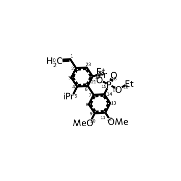 C=Cc1cc(C(C)C)c(-c2cc(OC)c(OC)cc2P(=O)(OCC)OCC)c(C(C)C)c1